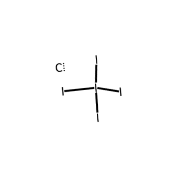 I[I](I)(I)I.[C]